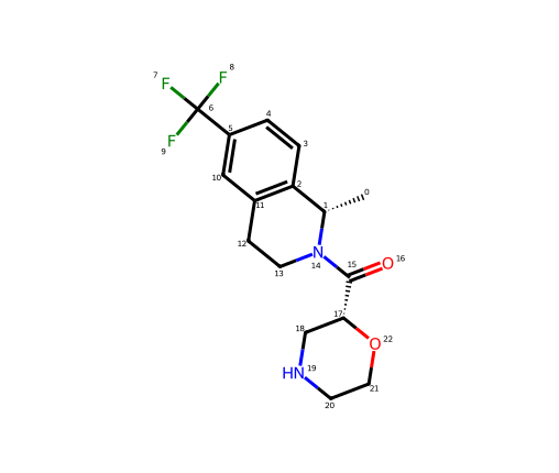 C[C@H]1c2ccc(C(F)(F)F)cc2CCN1C(=O)[C@H]1CNCCO1